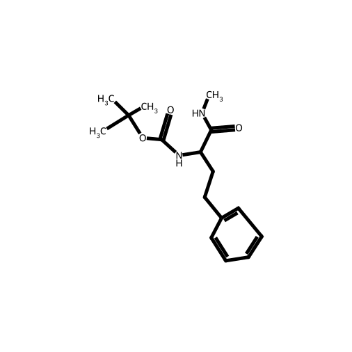 CNC(=O)C(CCc1ccccc1)NC(=O)OC(C)(C)C